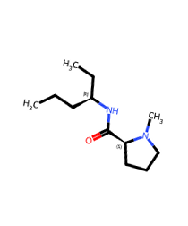 CCC[C@@H](CC)NC(=O)[C@@H]1CCCN1C